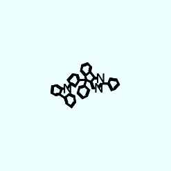 c1ccc(-c2ncc3c(n2)-c2ccccc2C3(c2ccccc2)c2cccc(-n3c4ccccc4c4ccccc43)c2)cc1